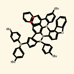 CC(C)(C)c1ccc(N2B3c4ccc5oc6ccccc6c5c4N(c4ccc(C(C)(C)C)cc4-c4ccccc4)c4cc(-c5ccccc5)cc(c43)-c3cc(N(c4ccc(C(C)(C)C)cc4)c4ccc(C(C)(C)C)cc4)ccc32)cc1